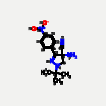 CC(C)(C)N1CC(N)(C#N)C(c2ccc([N+](=O)[O-])cc2)=N1